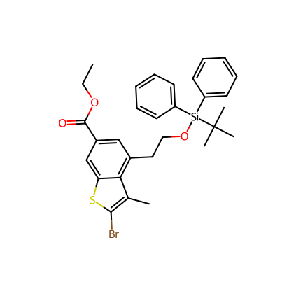 CCOC(=O)c1cc(CCO[Si](c2ccccc2)(c2ccccc2)C(C)(C)C)c2c(C)c(Br)sc2c1